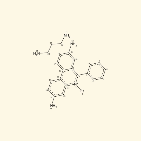 CC[n+]1c(-c2ccccc2)c2cc(N)ccc2c2ccc(N)cc21.NCCCN